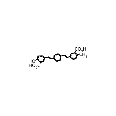 Cc1ccc(/C=C/c2ccc(/C=C/c3ccc(O)c(C(=O)O)c3)cc2)cc1C(=O)O